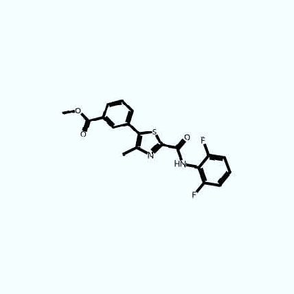 COC(=O)c1cccc(-c2sc(C(=O)Nc3c(F)cccc3F)nc2C)c1